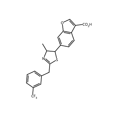 CC1N=C(Cc2cccc(C(F)(F)F)c2)SC1c1ccc2c(C(=O)O)coc2c1